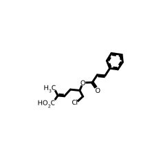 C/C(=C\CC(CCl)OC(=O)/C=C/c1ccccc1)C(=O)O